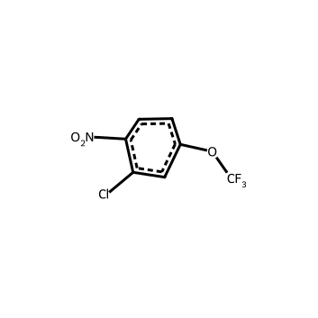 O=[N+]([O-])c1ccc(OC(F)(F)F)cc1Cl